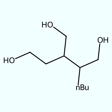 CCCCC(CO)C(CO)CCO